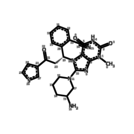 Cn1c(=O)[nH]c(=O)c2c1nc(N1CCCC(N)C1)n2[C@H](CC(=O)c1ccsc1)c1ccccc1C#N